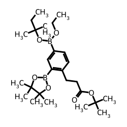 CCOB(OC(C)(C)CC)c1ccc(CCC(=O)OC(C)(C)C)c(B2OC(C)(C)C(C)(C)O2)c1